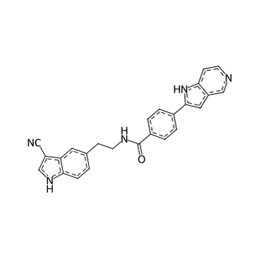 N#Cc1c[nH]c2ccc(CCNC(=O)c3ccc(-c4cc5cnccc5[nH]4)cc3)cc12